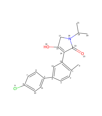 Cc1ccc(-c2ccc(Cl)cc2)cc1C1=C(O)CN(C(C)C)C1=O